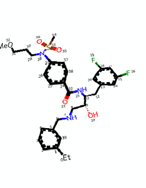 CCc1cccc(CNC[C@@H](O)[C@H](Cc2cc(F)cc(F)c2)NC(=O)c2ccc(N(CCCOC)S(C)(=O)=O)cc2)c1